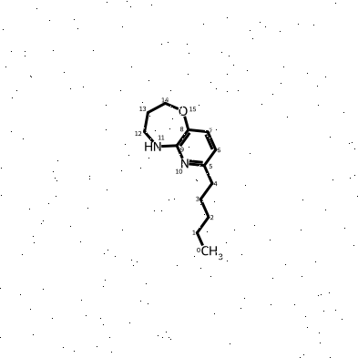 CCCCCc1ccc2c(n1)NCCCO2